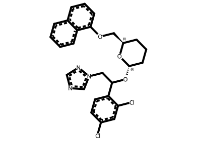 Clc1ccc(C(Cn2cncn2)O[C@H]2CCC[C@H](COc3cccc4ccccc34)O2)c(Cl)c1